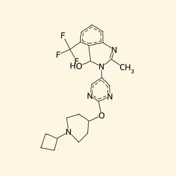 CC1=Nc2cccc(C(F)(F)F)c2C(O)N1c1cnc(OC2CCN(C3CCC3)CC2)nc1